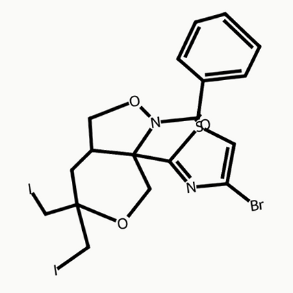 O=C(c1ccccc1)N1OCC2CC(CI)(CI)OCC21c1nc(Br)cs1